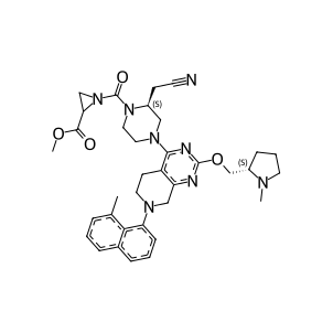 COC(=O)C1CN1C(=O)N1CCN(c2nc(OC[C@@H]3CCCN3C)nc3c2CCN(c2cccc4cccc(C)c24)C3)C[C@@H]1CC#N